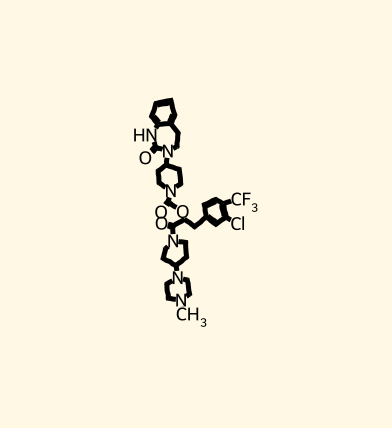 CN1CCN(C2CCN(C(=O)C(Cc3ccc(C(F)(F)F)c(Cl)c3)OC(=O)N3CCC(N4CCc5ccccc5NC4=O)CC3)CC2)CC1